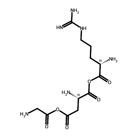 N=C(N)NCCC[C@H](N)C(=O)OC(=O)[C@@H](N)CC(=O)OC(=O)CN